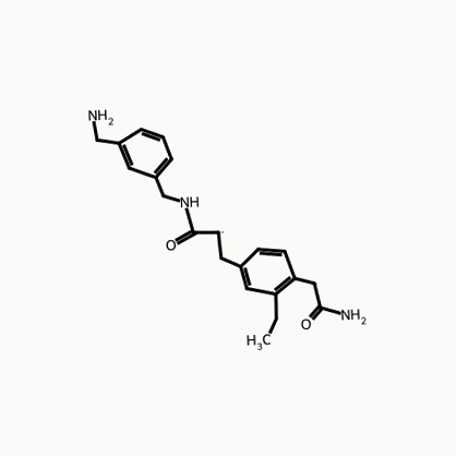 CCc1cc(C[CH]C(=O)NCc2cccc(CN)c2)ccc1CC(N)=O